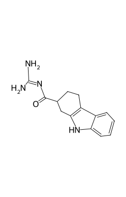 NC(N)=NC(=O)C1CCc2c([nH]c3ccccc23)C1